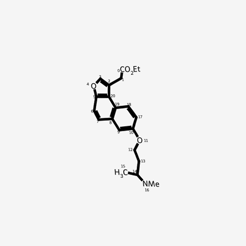 CCOC(=O)Cc1coc2ccc3cc(OCCC(C)NC)ccc3c12